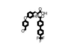 O=Cc1ccc(Oc2ccc(C[C@H](NC(=O)c3ccc(-c4ccc(C(F)(F)F)cc4)cc3)C(=O)O)cc2)cc1